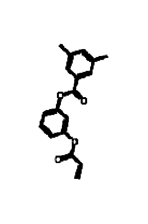 C=CC(=O)Oc1cccc(OC(=O)c2cc(C)cc(C)c2)c1